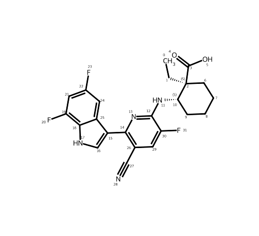 CC[C@]1(C(=O)O)CCCC[C@@H]1Nc1nc(-c2c[nH]c3c(F)cc(F)cc23)c(C#N)cc1F